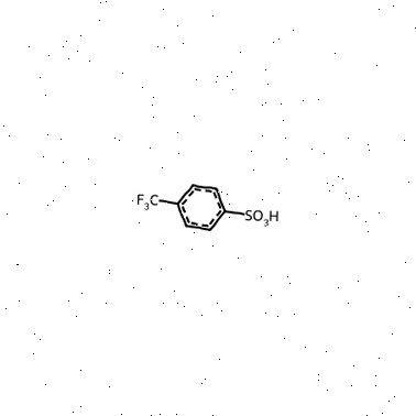 O=S(=O)(O)c1ccc(C(F)(F)F)cc1